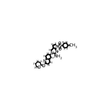 Cc1ccc(S(=O)(=O)n2ccc3c2=NC(N)N(c2ccc4nc(OC5CCCCO5)ccc4c2)C=3)cc1